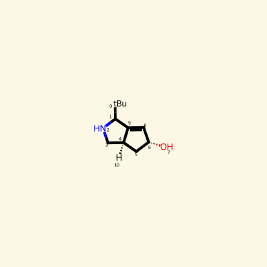 CC(C)(C)C1NC[C@@H]2C[C@@H](O)C=C12